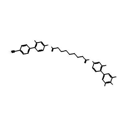 N#Cc1ccc(-c2ccc(OC(=O)CCCCCCCC(=O)Oc3ccc(-c4cc(F)c(F)c(F)c4)c(F)c3)cc2F)cc1